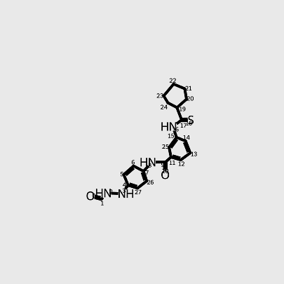 O=CNNc1ccc(NC(=O)c2cccc(NC(=S)C3CCCCC3)c2)cc1